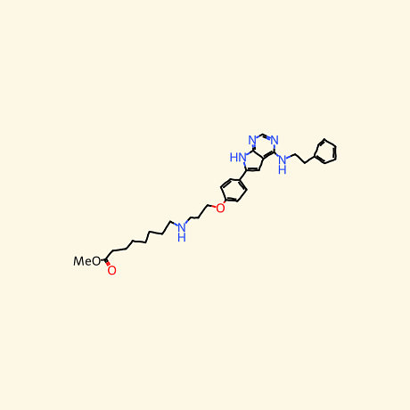 COC(=O)CCCCCCCNCCCOc1ccc(-c2cc3c(NCCc4ccccc4)ncnc3[nH]2)cc1